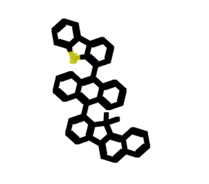 CC1(C)c2c(cccc2-c2c3ccccc3c(-c3cccc4c3sc3ccccc34)c3ccccc23)-c2ccc3ccccc3c21